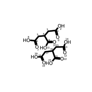 O=C(O)CC(CC(=O)O)C(=O)O.O=C(O)CC(CC(=O)O)C(=O)O